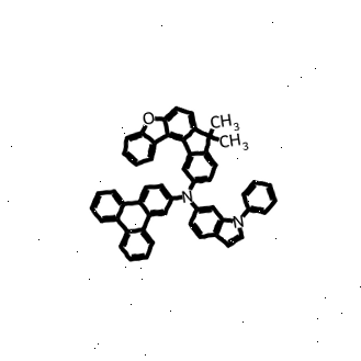 CC1(C)c2ccc(N(c3ccc4c5ccccc5c5ccccc5c4c3)c3ccc4ccn(-c5ccccc5)c4c3)cc2-c2c1ccc1oc3ccccc3c21